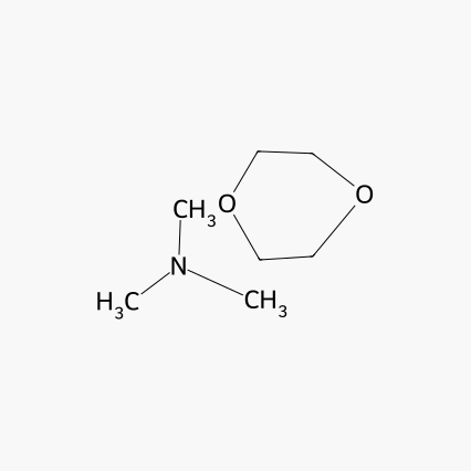 C1COCCO1.CN(C)C